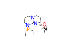 CCP(CC)N1CCCN2CC[C@H](O[Si](C)(C)C)N=C21